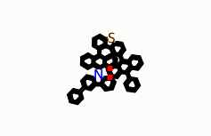 c1ccc(-c2ccc3c(c2)c2ccccc2n3-c2c3ccccc3c(-c3cccc4sc5ccc(-c6c7ccccc7c(-c7ccccc7)c7ccccc67)cc5c34)c3ccccc23)cc1